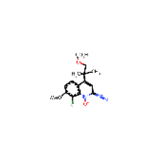 COc1ccc2c(c1Cl)[NH+]([O-])C(=[N+]=[N-])C=C2C(C)(C)COC(=O)O